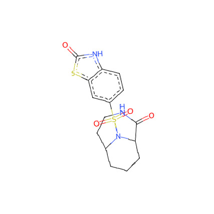 O=C1NCCC2CCCC1N2S(=O)(=O)c1ccc2[nH]c(=O)sc2c1